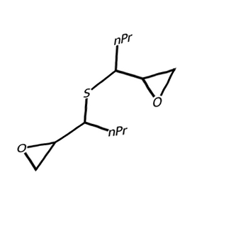 CCCC(SC(CCC)C1CO1)C1CO1